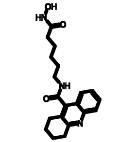 O=C(CCCCCNC(=O)c1c2c(nc3ccccc13)CCCC2)NO